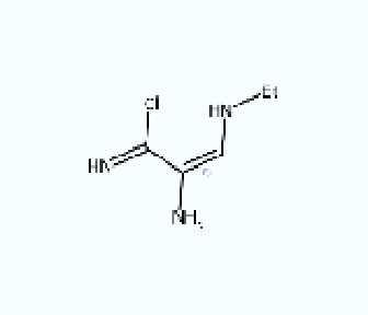 CCN/C=C(/N)C(=N)Cl